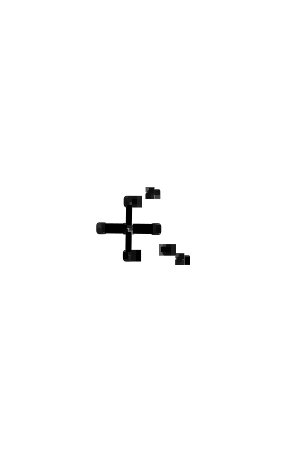 [KH].[O]=[Cr](=[O])([OH])[OH].[Zn].[Zn]